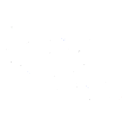 Cn1cc(-c2c[nH]c(C(=O)C=O)c2-c2cccc(N3CCC(O)CC3)c2)c2cc(F)ccc21